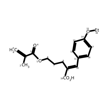 C=C(C)C(=O)OCCCC(=Cc1ccc(OCC)cc1)C(=O)O